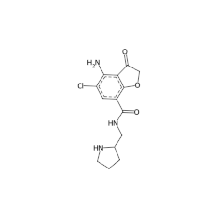 Nc1c(Cl)cc(C(=O)NCC2CCCN2)c2c1C(=O)CO2